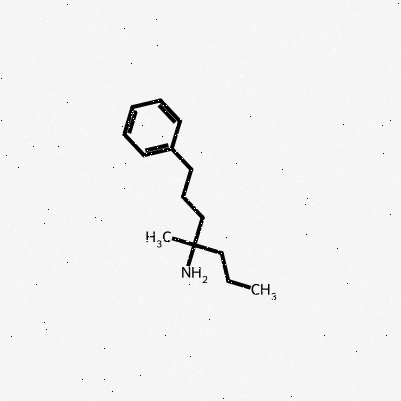 CCCC(C)(N)CCCc1ccccc1